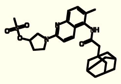 Cc1ccc2nc(N3CCC(OS(C)(=O)=O)C3)ccc2c1NC(=O)CC12CC3CC(CC(C3)C1)C2